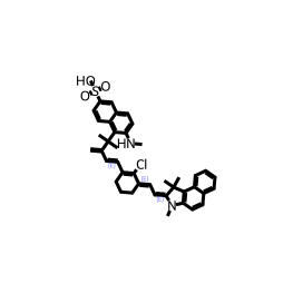 C=C(/C=C/C1=C(Cl)C(=C/C=C2/N(C)c3ccc4ccccc4c3C2(C)C)/CCC1)C(C)(C)c1c(NC)ccc2cc(S(=O)(=O)O)ccc12